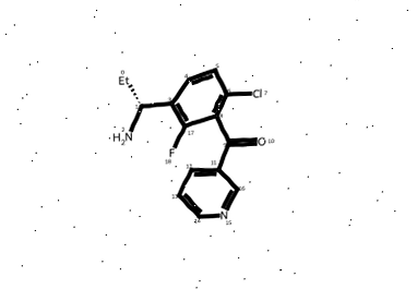 CC[C@@H](N)c1ccc(Cl)c(C(=O)c2cccnc2)c1F